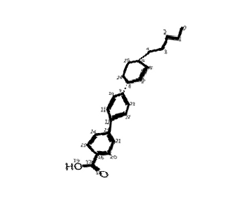 CCCCC[C@H]1CC[C@H](c2ccc(-c3ccc(C(=O)O)cc3)cc2)CC1